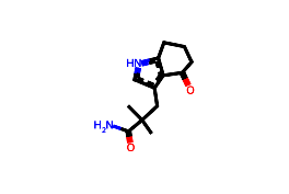 CC(C)(Cc1c[nH]c2c1C(=O)CCC2)C(N)=O